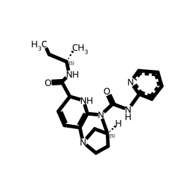 CC[C@H](C)NC(=O)C1C=CC2=C(N1)N(C(=O)Nc1ccccn1)[C@H]1CCN2C1